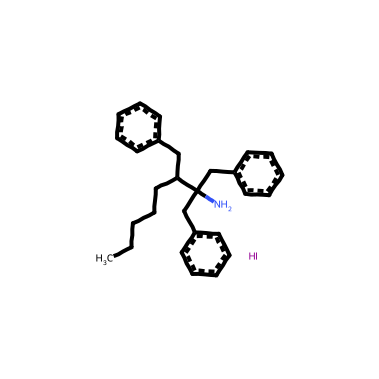 CCCCCC(Cc1ccccc1)C(N)(Cc1ccccc1)Cc1ccccc1.I